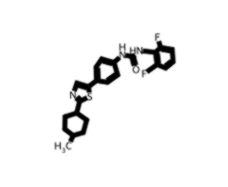 CC1CCC(c2ncc(-c3ccc(NC(=O)Nc4c(F)cccc4F)cc3)s2)CC1